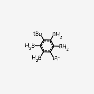 Bc1c(B)c(C(C)(C)C)c(B)c(B)c1C(C)C